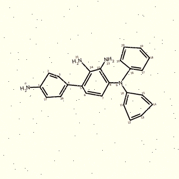 Nc1ccc(-c2ccc(N(c3ccccc3)c3ccccc3)c(N)c2N)cc1